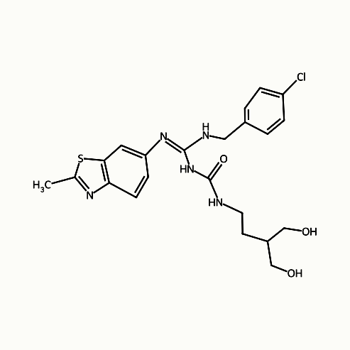 Cc1nc2ccc(/N=C(/NCc3ccc(Cl)cc3)NC(=O)NCCC(CO)CO)cc2s1